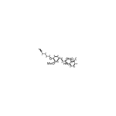 C#CCCCCOc1ccc(C=CC(=O)Nc2ccccc2C(=O)O)cc1OC